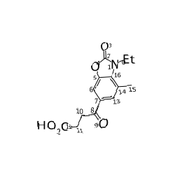 CCn1c(=O)oc2cc(C(=O)CCC(=O)O)cc(C)c21